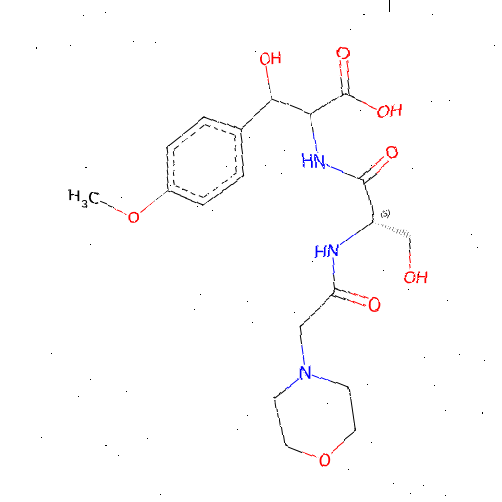 COc1ccc(C(O)C(NC(=O)[C@H](CO)NC(=O)CN2CCOCC2)C(=O)O)cc1